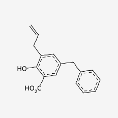 C=CCc1cc(Cc2ccccc2)cc(C(=O)O)c1O